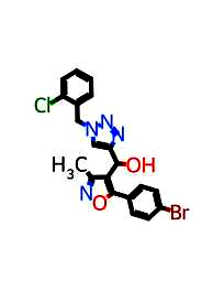 Cc1noc(-c2ccc(Br)cc2)c1C(O)c1cn(Cc2ccccc2Cl)nn1